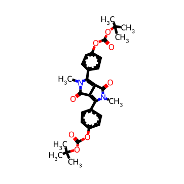 CN1C(=O)C2=C(c3ccc(OC(=O)OC(C)(C)C)cc3)N(C)C(=O)C2=C1c1ccc(OC(=O)OC(C)(C)C)cc1